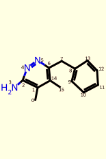 Cc1c(N)nnc(Cc2ccccc2)c1C